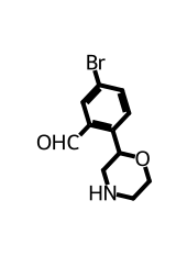 O=Cc1cc(Br)ccc1C1CNCCO1